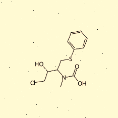 CN(C(=O)O)C(CSc1ccccc1)C(O)CCl